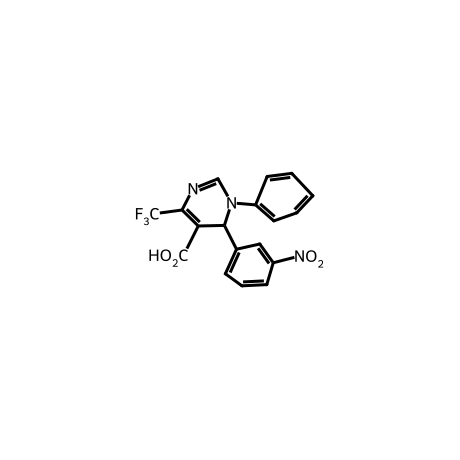 O=C(O)C1=C(C(F)(F)F)N=CN(c2ccccc2)C1c1cccc([N+](=O)[O-])c1